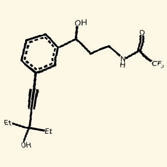 CCC(O)(C#Cc1cccc(C(O)CCNC(=O)C(F)(F)F)c1)CC